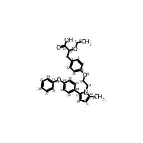 CCOC(Cc1ccc(OCCn2c(C)ccc2-c2ccc(Oc3ccccc3)cc2)cc1)C(=O)O